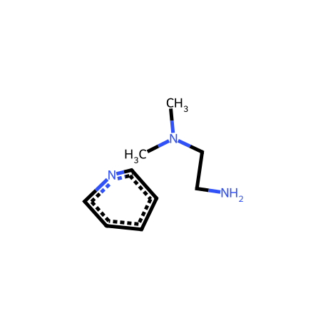 CN(C)CCN.c1ccncc1